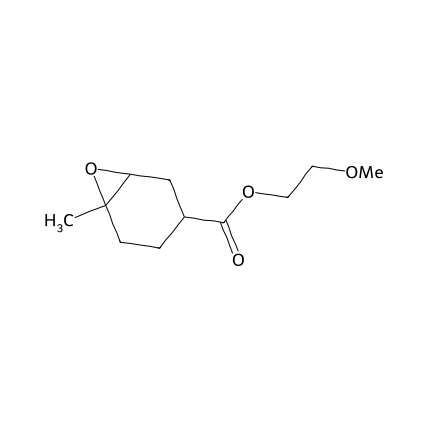 COCCOC(=O)C1CCC2(C)OC2C1